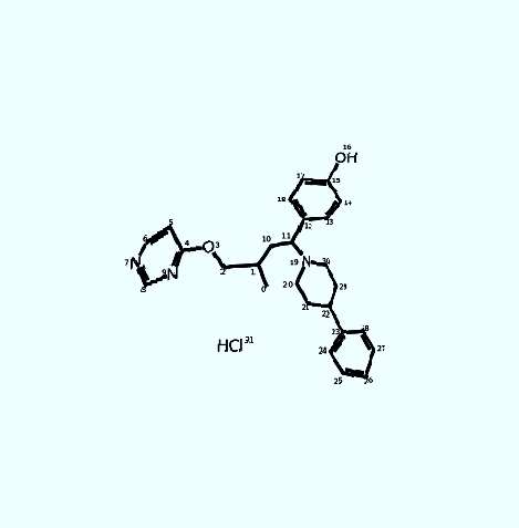 CC(COc1ccncn1)CC(c1ccc(O)cc1)N1CCC(c2ccccc2)CC1.Cl